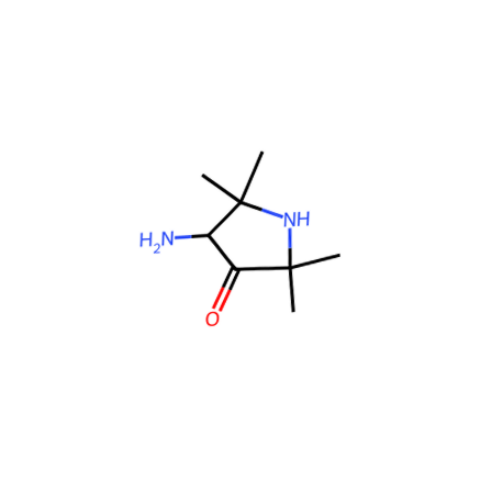 CC1(C)NC(C)(C)C(N)C1=O